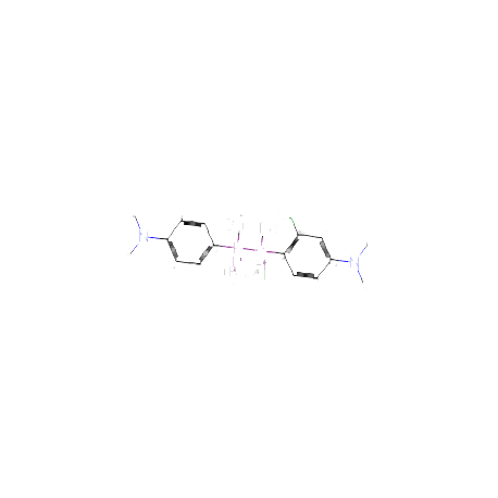 CN(C)c1ccc([PH](C(C)(C)C)(C(C)(C)C)[PH](Cl)([Pd])c2ccc(N(C)C)cc2Cl)cc1